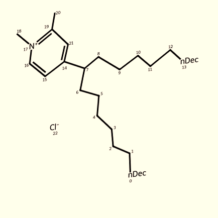 CCCCCCCCCCCCCCCCC(CCCCCCCCCCCCCCC)c1cc[n+](C)c(C)c1.[Cl-]